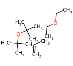 C=CC.CC(C)(C)OC(C)(C)C.CCOCC